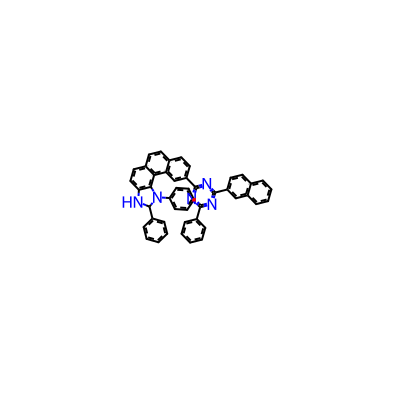 c1ccc(-c2nc(-c3ccc4ccccc4c3)nc(-c3ccc4ccc5ccc6c(c5c4c3)N(c3ccccc3)C(c3ccccc3)N6)n2)cc1